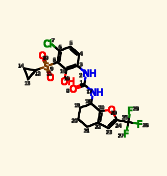 O=C(Nc1ccc(Cl)c(S(=O)(=O)C2CC2)c1O)NC1CCCc2cc(C(F)(F)F)oc21